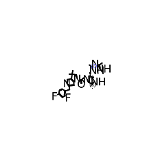 CC(=N)/N=C(/C)NC[C@H]1CN[C@H](C)CN1CC(=O)N1CC(C)(C)c2cnc(Cc3ccc(F)cc3F)cc21